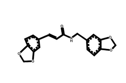 O=C(C=Cc1ccc2c(c1)OCO2)NCc1ccc2c(c1)OCO2